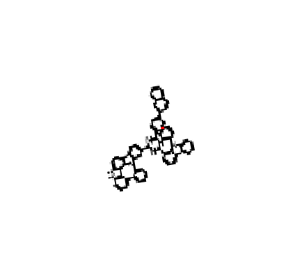 c1ccc(-n2c3ccccc3c3cccc(-c4nc(-c5ccc(-c6ccc7ccccc7c6)cc5)nc(-c5ccc6c7ccc8oc9cccc%10c%11ccccc%11n(c6c5)c7c8c9%10)n4)c32)cc1